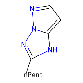 CCCCCc1nn2nccc2[nH]1